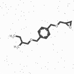 CCC(C)COCc1ccc(COCC2CO2)cc1